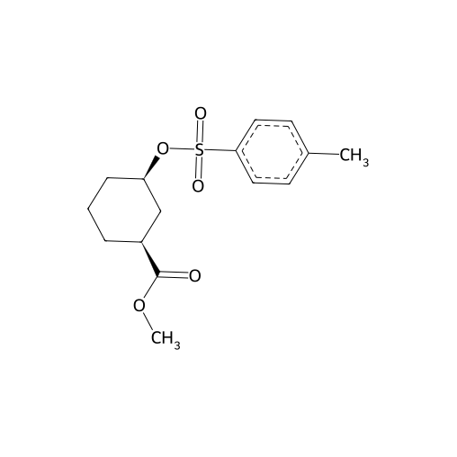 COC(=O)[C@H]1CCC[C@@H](OS(=O)(=O)c2ccc(C)cc2)C1